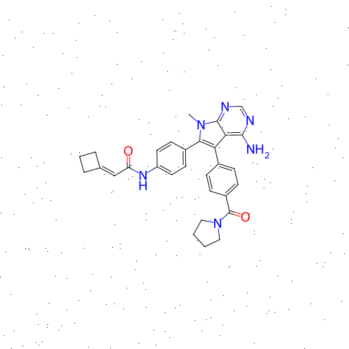 Cn1c(-c2ccc(NC(=O)C=C3CCC3)cc2)c(-c2ccc(C(=O)N3CCCC3)cc2)c2c(N)ncnc21